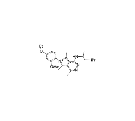 CCOc1ccc(-n2c(C)c3c(C)nnc(NC(C)CC(C)C)c3c2C)c(OC)c1